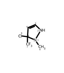 CN1N[C]=CC1(Cl)C(F)(F)F